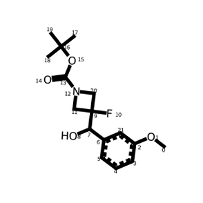 COc1cccc(C(O)C2(F)CN(C(=O)OC(C)(C)C)C2)c1